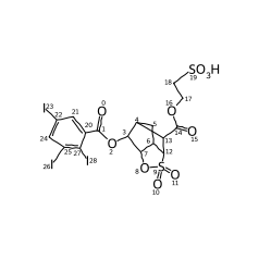 O=C(OC1C2CC3C1OS(=O)(=O)C3C2C(=O)OCCS(=O)(=O)O)c1cc(I)cc(I)c1I